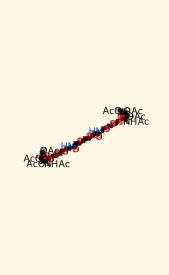 CC(=O)NC1[C@H](OCCOCCOCCNC(=O)CCOCCCOCCC(=O)NCCOCCOCCOC2OC(COC(C)=O)C(OC(C)=O)[C@H](OC(C)=O)[C@@H]2NC(C)=O)OC(COC(C)=O)C(OC(C)=O)[C@@H]1OC(C)=O